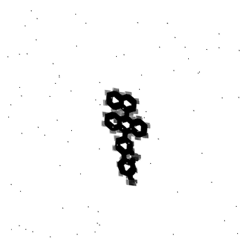 Brc1ccc2c(c1)oc1cc(-c3c4ccccc4c(-c4cccc5ccccc45)c4ccccc34)ccc12